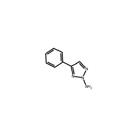 Nn1n[c]c(-c2ccccc2)n1